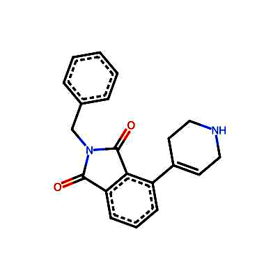 O=C1c2cccc(C3=CCNCC3)c2C(=O)N1Cc1ccccc1